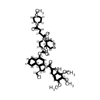 COc1cc2cc(C(=O)N3C[C@@H](CCl)c4c3cc(OC(=O)N3CCN(C(=O)CCC(=O)N5CCN(C)CC5)[C@@H]5CSSC[C@@H]53)c3ccccc43)[nH]c2c(OC)c1OC